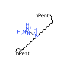 CCCCC/C=C\C/C=C\CCCCCCCCN(CCCCCCCC/C=C\C/C=C\CCCCC)NCCN=C(N)N